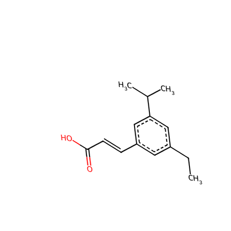 CCc1cc(/C=C/C(=O)O)cc(C(C)C)c1